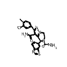 Cc1ccc(-c2nn3c(c2C(N)=O)C(c2ccc4ncsc4c2)N(C(N)=O)CC3)cc1Cl